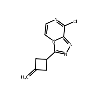 C=C1CC(c2nnc3c(Cl)nccn23)C1